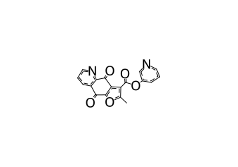 Cc1oc2c(c1C(=O)Oc1cccnc1)C(=O)c1ncccc1C2=O